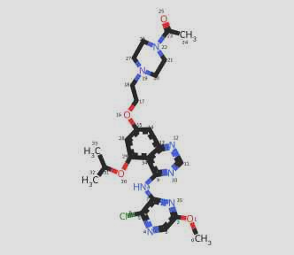 COc1cnc(Cl)c(Nc2ncnc3cc(OCCN4CCN(C(C)=O)CC4)cc(OC(C)C)c23)n1